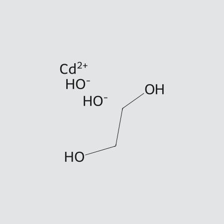 OCCO.[Cd+2].[OH-].[OH-]